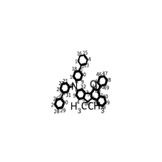 CC1(C)c2ccc(N(c3ccc(C4=CC=CCC4)cc3)c3cccc(-c4ccccc4)c3)cc2-c2c1c1ccccc1c1c2oc2ccccc21